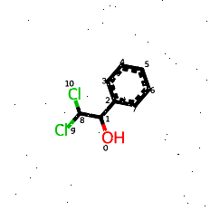 OC(c1ccccc1)C(Cl)Cl